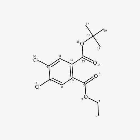 CCOC(=O)c1cc(Cl)c(Cl)cc1C(=O)OC(C)(C)C